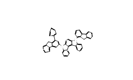 c1ccc(-c2cc(-n3c4ccccc4c4c5c6ccccc6n(-c6cccc7c6Cc6ccccc6-7)c5ccc43)cc3c2Cc2ccccc2-3)cc1